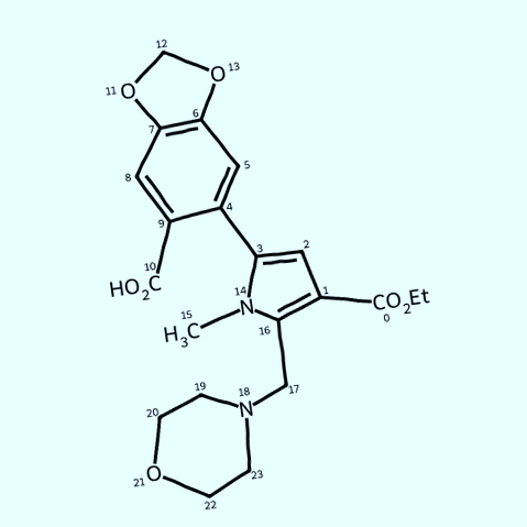 CCOC(=O)c1cc(-c2cc3c(cc2C(=O)O)OCO3)n(C)c1CN1CCOCC1